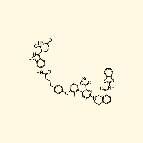 Cc1c(Oc2ccc(CCCC(=O)Nc3ccc4c(C5CCC(=O)NC5=O)nn(C)c4c3)cc2)cccc1-c1ccc(N2CCc3cccc(C(=O)Nc4nc5ccccc5s4)c3C2)nc1C(=O)OC(C)(C)C